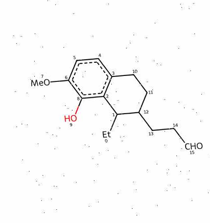 CCC1c2c(ccc(OC)c2O)CCC1CCC=O